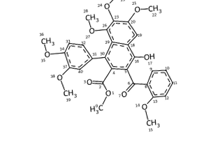 COC(=O)c1c(C(=O)c2ccccc2OC)c(O)c2cc(OC)c(OC)c(OC)c2c1-c1ccc(OC)c(OC)c1